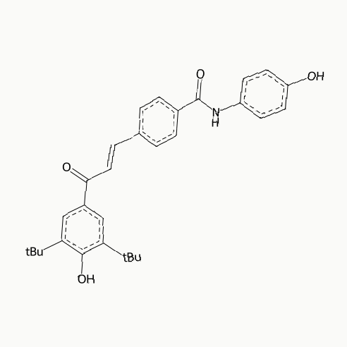 CC(C)(C)c1cc(C(=O)C=Cc2ccc(C(=O)Nc3ccc(O)cc3)cc2)cc(C(C)(C)C)c1O